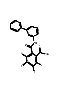 O=C(O)c1c(F)c(F)c(F)c(F)c1C(=O)Nc1cccc(-c2ccccc2)c1